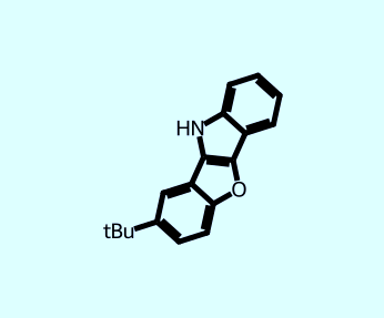 CC(C)(C)c1ccc2oc3c4ccccc4[nH]c3c2c1